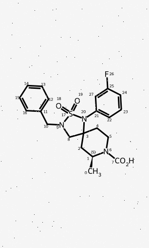 C[C@H]1CC2(CCN1C(=O)O)CN(Cc1ccccc1)S(=O)(=O)N2c1cccc(F)c1